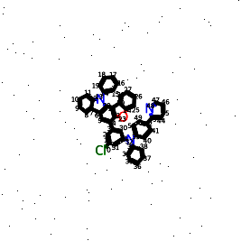 Clc1cc(-c2cc3c4ccccc4n(-c4ccccc4)c3c3c2oc2ccccc23)cc(N(c2ccccc2)c2ccc(-c3ccccn3)cc2)c1